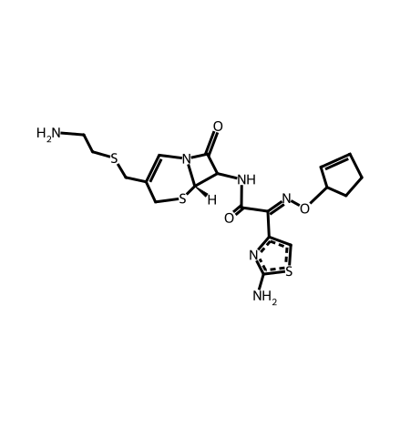 NCCSCC1=CN2C(=O)C(NC(=O)C(=NOC3C=CCC3)c3csc(N)n3)[C@@H]2SC1